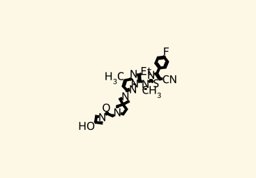 CCc1nc2c(C)cc(N3CC4(CCN(CC(=O)N5CC(O)C5)C4)C3)nn2c1N(C)c1nc(-c2ccc(F)cc2)c(C#N)s1